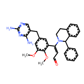 COc1cc(Cc2cnc(N)nc2N)cc(C(=CC=O)N2CCc3ccccc3C2c2ccccc2)c1OC